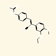 CCOc1cc(C(C#N)=Cc2ccc(NC(C)=O)cc2)ccc1OC